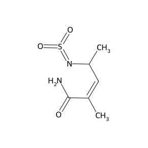 CC(=CC(C)N=S(=O)=O)C(N)=O